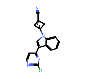 N#CC12CC(n3cc(-c4ccnc(Cl)n4)c4ccccc43)(C1)C2